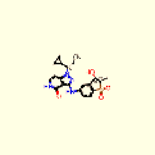 C[C@@H]1[C@@H](O)c2cc(Nc3nn([C@@H](CC#N)C4CC4)c4cc[nH]c(=O)c34)ccc2S1(=O)=O